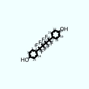 Oc1ccc(C(F)(F)C(F)(F)C(F)(F)C(F)(F)c2ccc(O)cc2)cc1